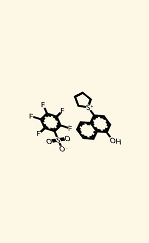 O=S(=O)([O-])c1c(F)c(F)c(F)c(F)c1F.Oc1ccc([S+]2CCCC2)c2ccccc12